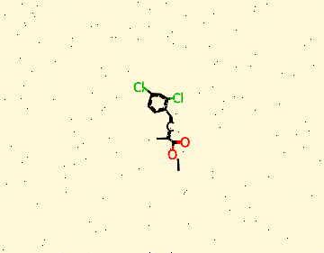 CCOC(=O)C(C)=C=Cc1ccc(Cl)cc1Cl